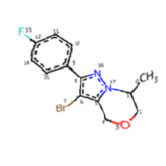 CC1COCc2c(Br)c(-c3ccc(F)cc3)nn21